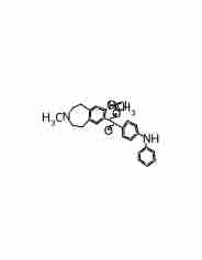 COc1cc2c(cc1S(=O)(=O)c1ccc(Nc3ccccc3)cc1)CCN(C)CC2.Cl